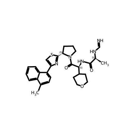 Cc1ccc(-c2csc([C@@H]3CCCN3C(=O)[C@@H](NC(=O)[C@H](C)NC=N)C3CCOCC3)n2)c2ccccc12